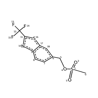 CS(=O)(=O)OCc1ccc2nc(C(F)(F)F)sc2c1